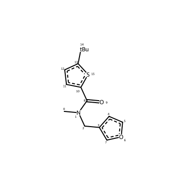 CN(Cc1ccoc1)C(=O)c1ccc(C(C)(C)C)s1